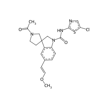 CO/C=C/c1ccc2c(c1)C1(CCN(C(C)=O)C1)CN2C(=O)Nc1ncc(Cl)s1